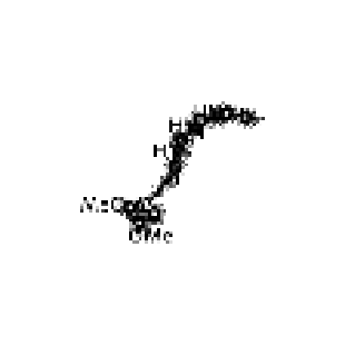 COc1ccc(C(OCCCCCCOc2ccc(-c3nc4cc(-c5nc6cc(-c7nc8cc(N9CCN(C)CC9)ccc8[nH]7)ccc6[nH]5)ccc4[nH]3)cc2)(c2ccccc2)c2ccc(OC)cc2)cc1